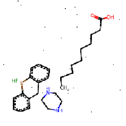 C1CNCCN1.CCCCCCCCCC(=O)O.F.c1ccc2c(c1)Cc1ccccc1S2